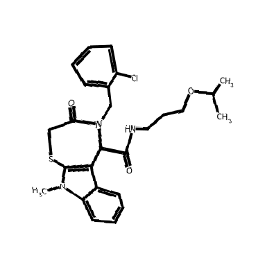 CC(C)OCCCNC(=O)C1c2c(n(C)c3ccccc23)SCC(=O)N1Cc1ccccc1Cl